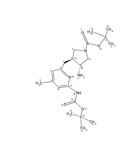 Cc1cc(C[C@H]2CN(C(=O)OC(C)(C)C)C[C@@H]2N)nc(NC(=O)OC(C)(C)C)c1